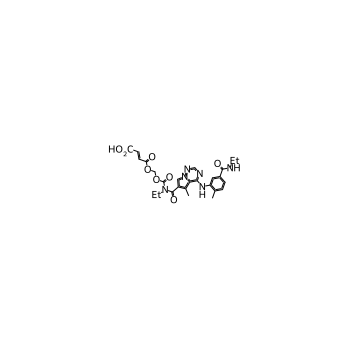 CCNC(=O)c1ccc(C)c(Nc2ncnn3cc(C(=O)N(CC)C(=O)OCOC(=O)/C=C/C(=O)O)c(C)c23)c1